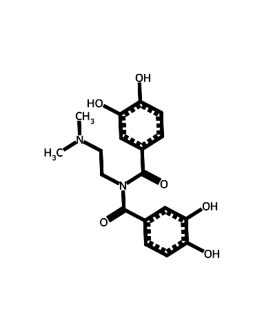 CN(C)CCN(C(=O)c1ccc(O)c(O)c1)C(=O)c1ccc(O)c(O)c1